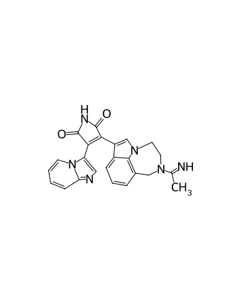 CC(=N)N1CCn2cc(C3=C(c4cnc5ccccn45)C(=O)NC3=O)c3cccc(c32)C1